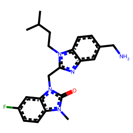 CC(C)CCn1c(Cn2c(=O)n(C)c3ccc(F)cc32)nc2cc(CN)ccc21